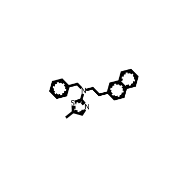 Cc1cnc(N(CCc2ccc3ccccc3c2)Cc2ccccc2)s1